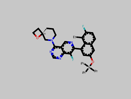 CCc1c(F)ccc2cc(O[Si](C(C)C)(C(C)C)C(C)C)cc(-c3ncc4c(N5CCC[C@]6(CCO6)C5)ncnc4c3F)c12